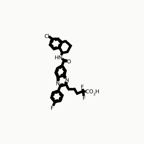 O=C(NC1CCCc2cc(Cl)ccc21)c1ccc2nc(-c3ccc(F)cc3)c(CCCC(F)(F)C(=O)O)nc2c1